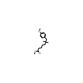 COC(=O)CCCCC(C)(C)Cc1ccc(OC)cc1